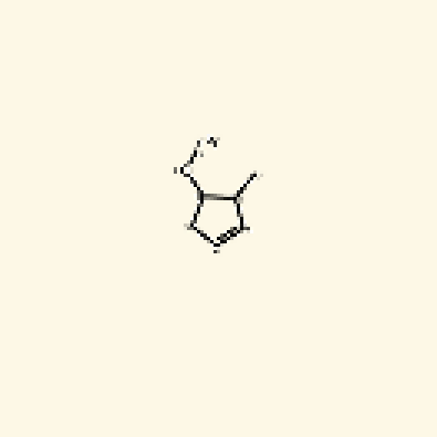 CCCOC1CC=CC1C